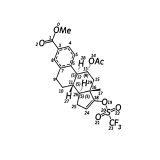 COC(=O)c1ccc2c(c1)CC[C@@H]1[C@@H]2[C@H](OC(C)=O)C[C@]2(C)C(OS(=O)(=O)C(F)(F)F)=CC[C@@H]12